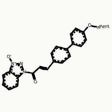 CCCCCOc1ccc(-c2ccc(/C=C/C(=O)n3n[n+]([O-])c4ccccc43)cc2)cc1